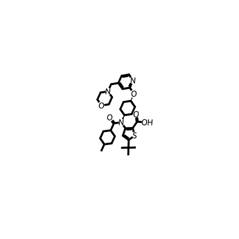 CC1CCC(C(=O)N(c2cc(C(C)(C)C)sc2C(=O)O)[C@H]2CC[C@H](Oc3cc(CN4CCOCC4)ccn3)CC2)CC1